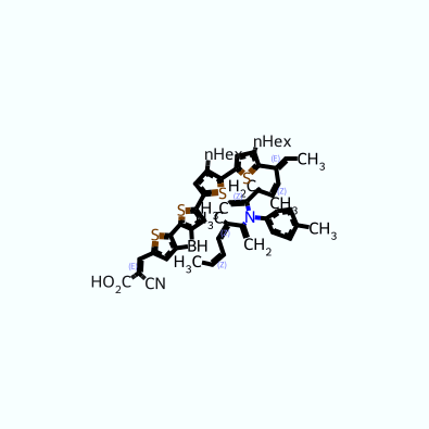 C=C(/C=C\C(=C/C)c1sc(-c2sc(-c3cc4c(s3)-c3sc(/C=C(\C#N)C(=O)O)cc3B4)cc2CCCCCC)cc1CCCCCC)/C(=C/C)N(C(=C)/C(C)=C\C=C/C)c1ccc(C)cc1C